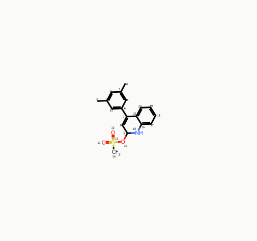 Cc1cc(C)cc(C2=CC(OS(=O)(=O)C(F)(F)F)Nc3ccccc32)c1